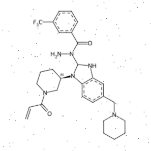 C=CC(=O)N1CCC[C@@H](N2c3ccc(CN4CCCCC4)cc3NC2N(N)C(=O)c2cccc(C(F)(F)F)c2)C1